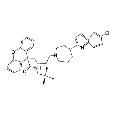 O=C(NCC(F)(F)F)C1(CCCCN2CCCN(c3ccc4cc(Cl)ccc4n3)CC2)c2ccccc2Oc2ccccc21